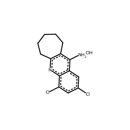 Cl.Nc1c2c(nc3c(Cl)cc(Cl)cc13)CCCCC2